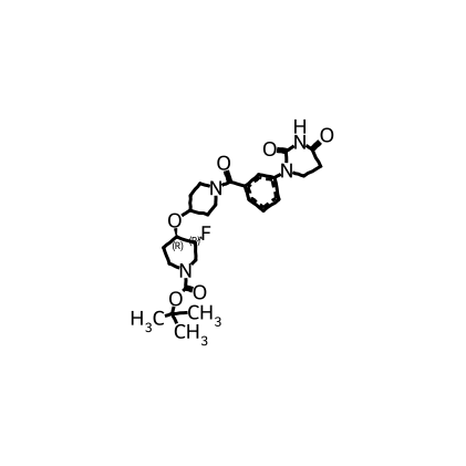 CC(C)(C)OC(=O)N1CC[C@@H](OC2CCN(C(=O)c3cccc(N4CCC(=O)NC4=O)c3)CC2)[C@H](F)C1